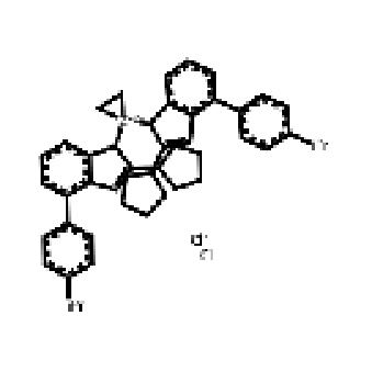 CC(C)c1ccc(-c2cccc3c2C=C(C2CCCC2)[CH]3[Zr+2]2([CH]3C(C4CCCC4)=Cc4c(-c5ccc(C(C)C)cc5)cccc43)[CH2][CH2]2)cc1.[Cl-].[Cl-]